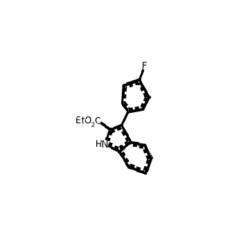 CCOC(=O)c1[nH]c2ccccc2c1-c1ccc(F)cc1